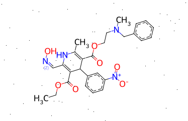 CCOC(=O)C1=C(/C=N\O)NC(C)=C(C(=O)OCCN(C)Cc2ccccc2)C1c1cccc([N+](=O)[O-])c1